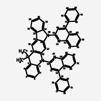 CC1(C)c2ccccc2N(c2cc(-c3ccccc3)c3ccccc3n2)c2cc3c(cc21)c1ccccc1n3-c1cc(-c2ccccc2)c2ccccc2n1